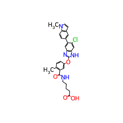 Cc1ccc(Oc2nc3cc(-c4ccc5c(ccn5C)c4)c(Cl)cc3[nH]2)cc1C(=O)NCCCCC(=O)O